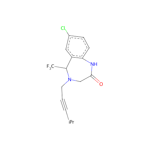 CC(C)C#CCN1CC(=O)Nc2ccc(Cl)cc2C1C(F)(F)F